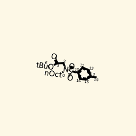 CCCCCCCCN(CC(=O)OC(C)(C)C)S(=O)(=O)c1ccc(C)cc1